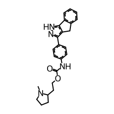 CN1CCCC1CCOC(=O)Nc1ccc(-c2n[nH]c3c2Cc2ccccc2-3)cc1